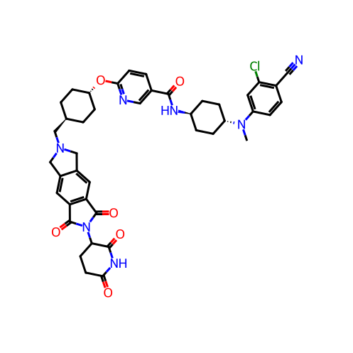 CN(c1ccc(C#N)c(Cl)c1)[C@H]1CC[C@H](NC(=O)c2ccc(O[C@H]3CC[C@H](CN4Cc5cc6c(cc5C4)C(=O)N(C4CCC(=O)NC4=O)C6=O)CC3)nc2)CC1